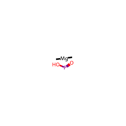 O=PO.[CH3][Mg][CH3]